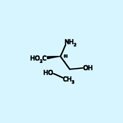 CO.N[C@@H](CO)C(=O)O